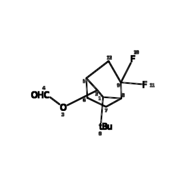 CC(C)(C)C1C(OC=O)C2CCC1C(F)(F)C2